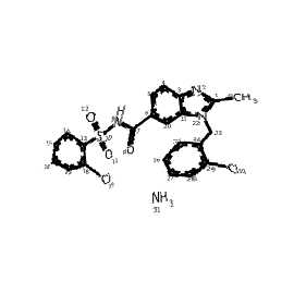 Cc1nc2ccc(C(=O)NS(=O)(=O)c3ccccc3Cl)cc2n1Cc1ccccc1Cl.N